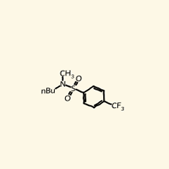 CCCCN(C)S(=O)(=O)c1ccc(C(F)(F)F)cc1